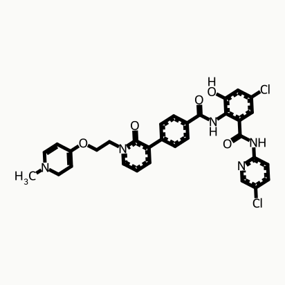 CN1C=CC(OCCn2cccc(-c3ccc(C(=O)Nc4c(O)cc(Cl)cc4C(=O)Nc4ccc(Cl)cn4)cc3)c2=O)=CC1